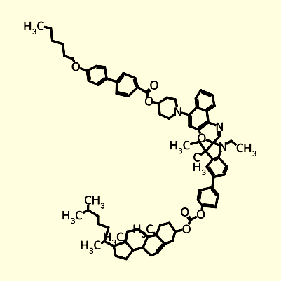 CCCCCCOc1ccc(-c2ccc(C(=O)OC3CCN(c4cc5c(c6ccccc46)N=CC4(O5)N(CC)c5ccc(-c6ccc(OC(=O)OC7CCC8(C)C(=CCC9C8CCC8(C)C(C(C)CCCC(C)C)CCC98)C7)cc6)cc5C4(C)CC)CC3)cc2)cc1